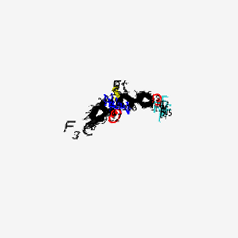 CCSc1cc(-c2ccc(OC(F)(F)C(F)F)cc2)cnc1-n1ncc2ccc(C(F)(F)F)cc2c1=O